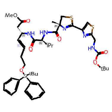 COC(=O)C[C@@H](/C=C/CCO[Si](c1ccccc1)(c1ccccc1)C(C)(C)C)NC(=O)[C@@H](NC(=O)[C@]1(C)CSC(c2csc(CNC(=O)OC(C)(C)C)n2)=N1)C(C)C